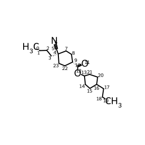 CCCC[C@]1(C#N)CC[C@H](C(=O)OC2CCC(CCC)CC2)CC1